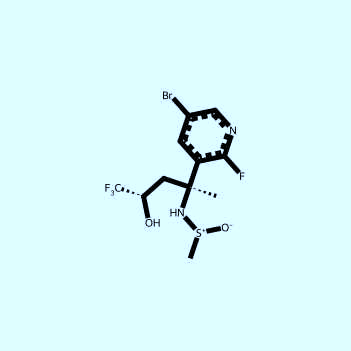 C[S+]([O-])N[C@@](C)(C[C@H](O)C(F)(F)F)c1cc(Br)cnc1F